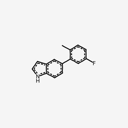 Cc1ccc(F)cc1-c1ccc2[nH]ccc2c1